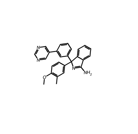 COc1ccc(C2(c3cccc(-c4cncnc4)c3)N=C(N)c3ccccc32)cc1C